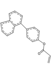 C=CC(=O)Oc1ccc(-c2cccc3ccccc23)cc1